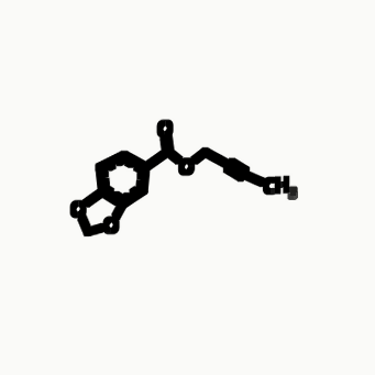 CC#CCOC(=O)c1ccc2c(c1)OCO2